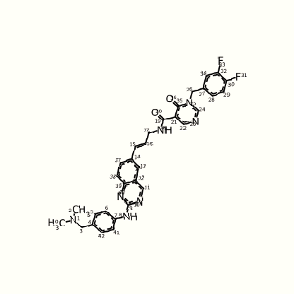 CN(C)Cc1ccc(Nc2ncc3cc(C=CCNC(=O)c4cncn(Cc5ccc(F)c(F)c5)c4=O)ccc3n2)cc1